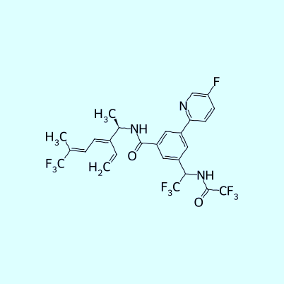 C=C/C(=C\C=C(/C)C(F)(F)F)[C@@H](C)NC(=O)c1cc(-c2ccc(F)cn2)cc(C(NC(=O)C(F)(F)F)C(F)(F)F)c1